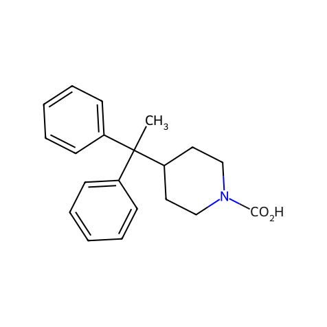 CC(c1ccccc1)(c1ccccc1)C1CCN(C(=O)O)CC1